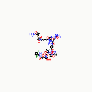 CC[C@H](C)[C@@H]([C@@H](CC(=O)N1C[C@@H](O)C[C@H]1[C@H](OC)[C@@H](C)C(=O)NCCc1c(F)cccc1F)OC)N(C)C(=O)[C@@H](NC(=O)[C@H](C(C)C)N(C)C(=O)OCc1ccc(NC(=O)[C@H](CCCNC(N)=O)NC(=O)[C@@H](NC(=O)CCCCCN2C(=O)CC(SCC3(CC(N)=O)CC3)C2=O)C(C)C)cc1)C(C)C